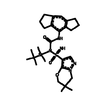 CC1(C)COc2c(S(=N)(=O)N(C(=O)Nc3c4c(cc5c3CCC5)CCC4)[Si](C)(C)C(C)(C)C)cnn2C1